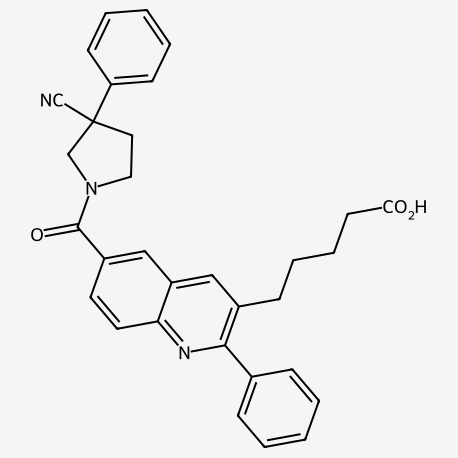 N#CC1(c2ccccc2)CCN(C(=O)c2ccc3nc(-c4ccccc4)c(CCCCC(=O)O)cc3c2)C1